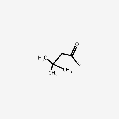 CC(C)(C)CC(=O)[S]